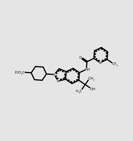 CCOC(=O)C1CCC(n2cc3cc(NC(=O)c4cccc(C(F)(F)F)n4)c(C(C)(C)O)cc3n2)CC1